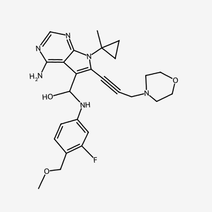 COCc1ccc(NC(O)c2c(C#CCN3CCOCC3)n(C3(C)CC3)c3ncnc(N)c23)cc1F